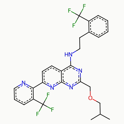 CC(C)COCc1nc(NCCc2ccccc2C(F)(F)F)c2ccc(-c3ncccc3C(F)(F)F)nc2n1